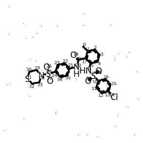 Cc1cccc(NS(=O)(=O)c2ccc(Cl)cc2)c1C(=O)Nc1ccc(S(=O)(=O)N2CCSCC2)cc1